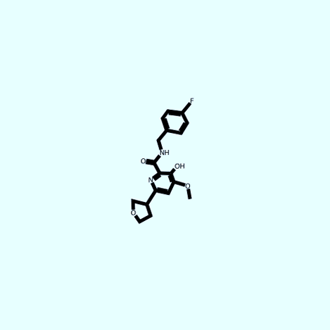 COc1cc(C2CCOC2)nc(C(=O)NCc2ccc(F)cc2)c1O